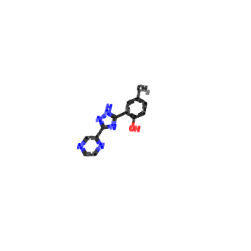 Cc1ccc(O)c(-c2nc(-c3cnccn3)n[nH]2)c1